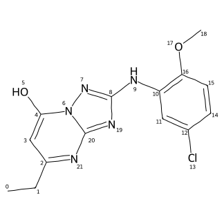 CCc1cc(O)n2nc(Nc3cc(Cl)ccc3OC)nc2n1